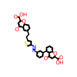 O=C(O)c1cc(=O)c2cc(CCc3cc(N=Nc4cccc(-c5cccc6oc(C(=O)O)cc(=O)c56)c4)cs3)ccc2o1